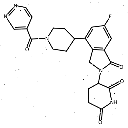 O=C1CCC(N2Cc3c(cc(F)cc3C3CCN(C(=O)c4ccnnc4)CC3)C2=O)C(=O)N1